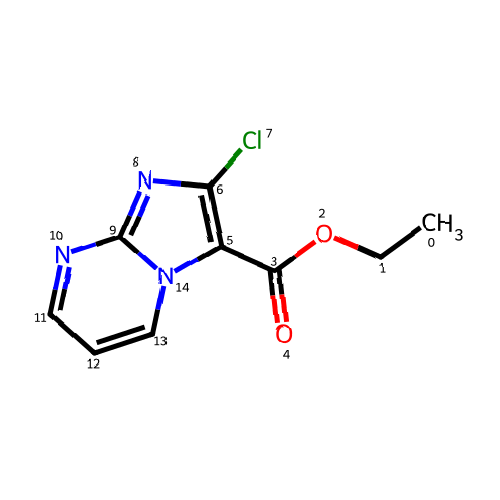 CCOC(=O)c1c(Cl)nc2ncccn12